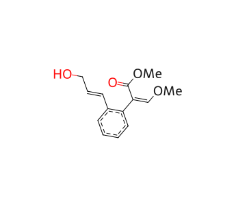 COC=C(C(=O)OC)c1ccccc1C=CCO